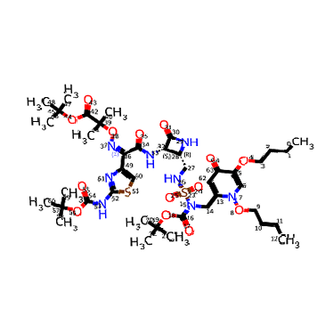 CCCCOc1cn(OCCCC)c(CN(C(=O)OC(C)(C)C)S(=O)(=O)NC[C@H]2NC(=O)[C@H]2NC(=O)/C(=N\OC(C)(C)C(=O)OC(C)(C)C)c2csc(NC(=O)OC(C)(C)C)n2)cc1=O